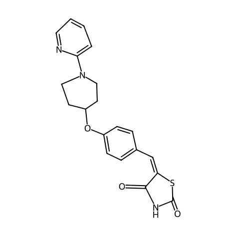 O=C1NC(=O)/C(=C\c2ccc(OC3CCN(c4ccccn4)CC3)cc2)S1